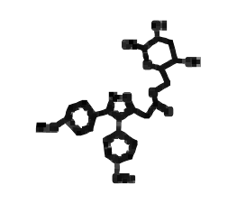 COc1ccc(-c2noc(CC(=O)OCC3OC(N=O)C(O)CC3O)c2-c2ccc(OC)cc2)cc1